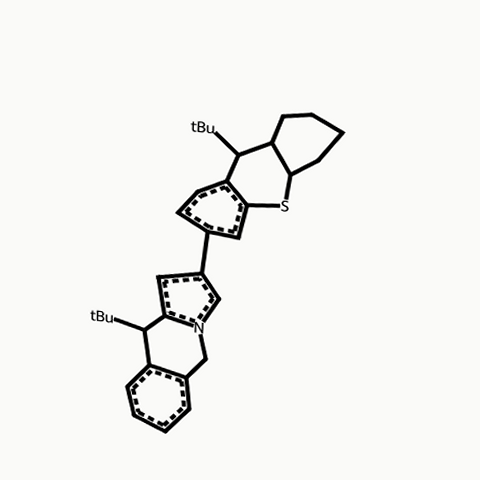 CC(C)(C)C1c2ccccc2Cn2cc(-c3ccc4c(c3)SC3CCCCC3C4C(C)(C)C)cc21